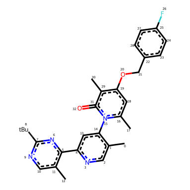 Cc1cnc(-c2nc(C(C)(C)C)ncc2C)cc1-n1c(C)cc(OCc2ccc(F)cc2)c(C)c1=O